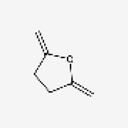 C=C1CCC(=C)O1